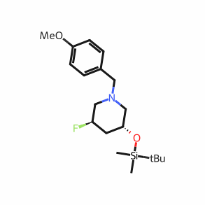 COc1ccc(CN2C[C@H](F)C[C@@H](O[Si](C)(C)C(C)(C)C)C2)cc1